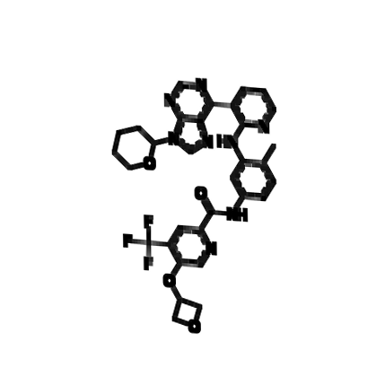 Cc1ccc(NC(=O)c2cc(C(F)(F)F)c(OC3COC3)cn2)cc1Nc1ncccc1-c1ncnc2c1ncn2C1CCCCO1